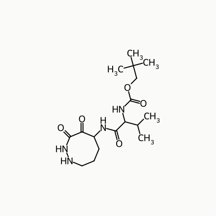 CC(C)C(NC(=O)OCC(C)(C)C)C(=O)NC1CCCNNC(=O)C1=O